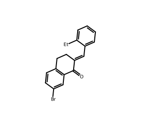 CCc1ccccc1/C=C1\CCc2ccc(Br)cc2C1=O